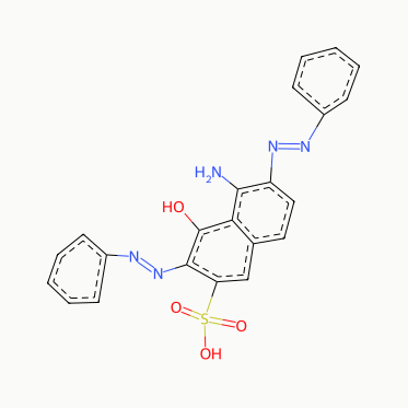 Nc1c(N=Nc2ccccc2)ccc2cc(S(=O)(=O)O)c(N=Nc3ccccc3)c(O)c12